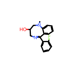 CN1CC(O)C/N=C(/c2ccccc2F)c2ccccc21